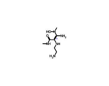 CNC(=O)/C(NCCN)=C(/N)N(C)O